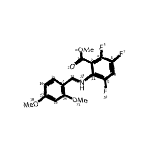 COC(=O)c1c(F)c(F)cc(F)c1NCc1ccc(OC)cc1OC